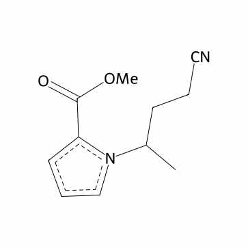 COC(=O)c1cccn1C(C)CCC#N